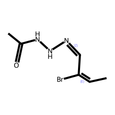 C/C=C(Br)\C=N/NNC(C)=O